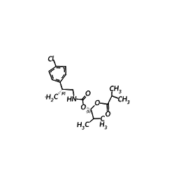 [CH2][C@@H](CNC(=O)O[C@H](OC(=O)C(C)C)C(C)C)c1ccc(Cl)cc1